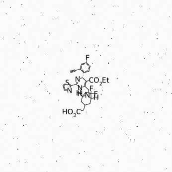 C#Cc1cc(F)ccc1[C@H]1N=C(c2nccs2)NC(CN2[C@@H]3CC(CC(=O)O)C[C@H]2C(F)(F)C3)=C1C(=O)OCC